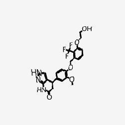 COc1cc(C2CC(=O)Nc3n[nH]cc32)ccc1OCc1cccc(OCCO)c1C(F)(F)F